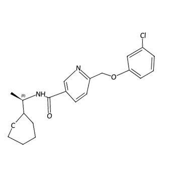 C[C@@H](NC(=O)c1ccc(COc2cccc(Cl)c2)nc1)C1CCCCC1